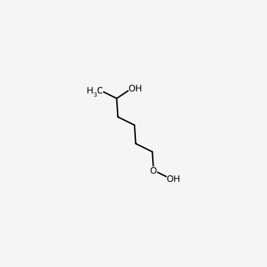 CC(O)CCCCOO